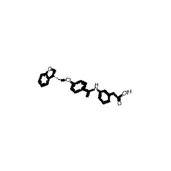 CC(NC1=CCCC(CC(=O)O)=C1)c1ccc(OC[C@H]2COc3ccccc32)cc1